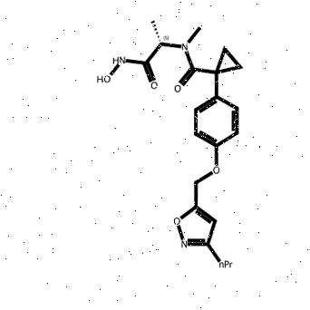 CCCc1cc(COc2ccc(C3(C(=O)N(C)[C@@H](C)C(=O)NO)CC3)cc2)on1